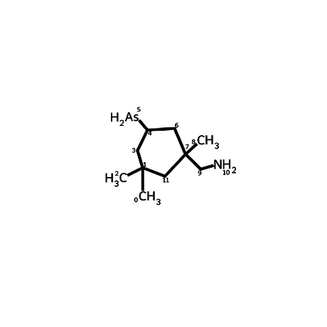 CC1(C)CC([AsH2])CC(C)(CN)C1